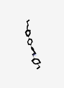 CCCCc1ccc([C@H]2CC[C@H](C#C/C=C/[C@H]3CC[C@H](CC)CC3)CC2)cc1